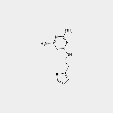 Nc1nc(N)nc(NCCc2ccc[nH]2)n1